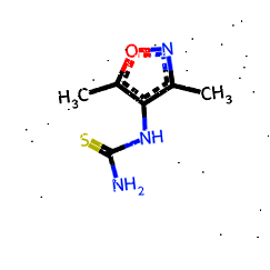 Cc1noc(C)c1NC(N)=S